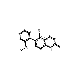 COc1ccccc1-c1ccc2[nH]c(=O)ccc2c1F